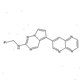 CC(C)CNc1ncc2c(-c3cnc4nccnc4c3)ccn2n1